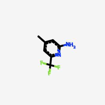 Cc1cc(N)nc(C(F)(F)F)c1